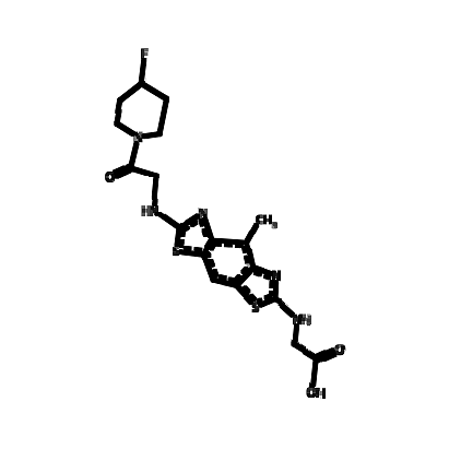 Cc1c2nc(NCC(=O)O)sc2cc2sc(NCC(=O)N3CCC(F)CC3)nc12